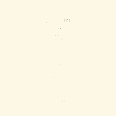 C#CCOCCOCCOCCOCCNC(=O)CN(CC(=O)N[C@H](CCC(C)C)C(=O)O)CC(=O)N[C@H](CCC(C)C)C(=O)O